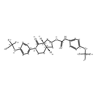 O=C(Nc1ccc(OC(F)(F)F)cc1)ON1C[C@@H]2CCN(c3ccc(OC(F)(F)F)cc3)C(=O)[C@@H]2C1